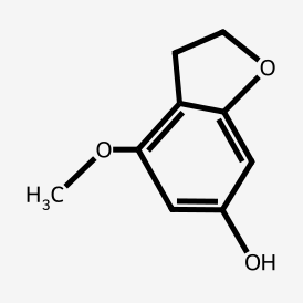 COc1cc(O)cc2c1CCO2